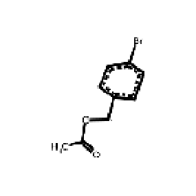 CC(=O)O[CH]c1ccc(Br)cc1